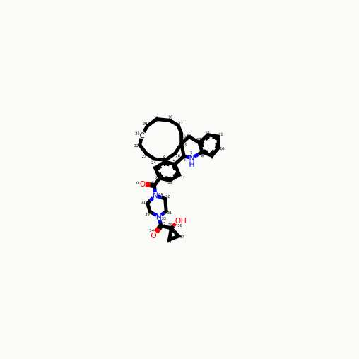 O=C(c1ccc(C2Nc3ccccc3CC23CCCCCCCCCCC3)cc1)N1CCN(C(=O)C2(O)CC2)CC1